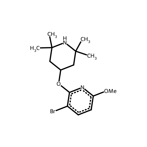 COc1ccc(Br)c(OC2CC(C)(C)NC(C)(C)C2)n1